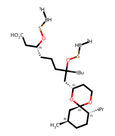 [3H]BSO[C@H](CCCC(C[C@@H]1CCO[C@@]2(C[C@H](C)CC[C@H]2C(C)C)O1)(OSB[3H])C(C)(C)C)CC(=O)O